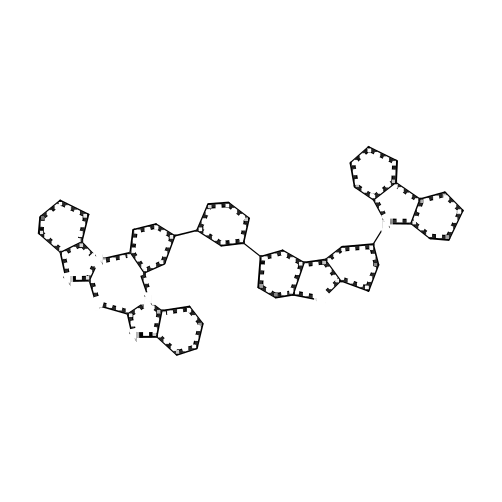 c1cc(-c2ccc3oc4ccc(-n5c6ccccc6c6ccccc65)cc4c3c2)cc(-c2ccc3c(c2)n2c(nc4ccccc42)sc2nc4ccccc4n23)c1